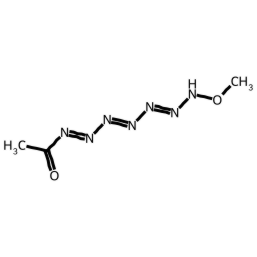 CONN=NN=NN=NC(C)=O